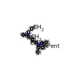 C=Cc1ccc(-c2ccc3c(c2)c2cc(-c4cc(C)c(-c5ccc(N(c6ccc(-c7ccccc7)cc6)c6ccc7c(c6)C(CCCCC)(c6ccccc6)c6ccccc6-7)cc5)cc4C)ccc2n3-c2ccccc2)cc1